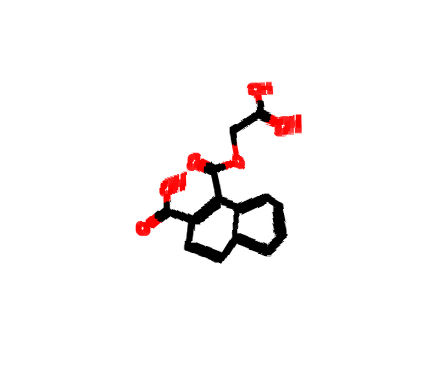 O=C(O)c1ccc2ccccc2c1C(=O)OCC(O)O